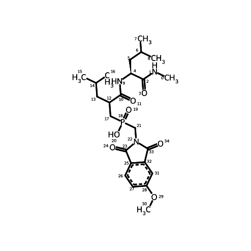 CNC(=O)[C@H](CC(C)C)NC(=O)C(CC(C)C)CP(=O)(O)CN1C(=O)c2ccc(OC)cc2C1=O